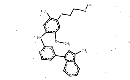 COCCOc1cc(OC)c(Nc2nccc(-c3cn(C)c4ccccc34)n2)cc1C